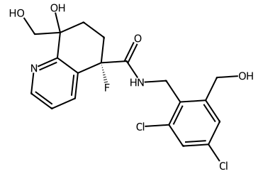 O=C(NCc1c(Cl)cc(Cl)cc1CO)[C@]1(F)CCC(O)(CO)c2ncccc21